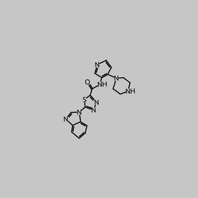 O=C(Nc1cnccc1N1CCNCC1)c1nnc(-n2cnc3ccccc32)s1